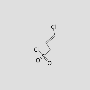 O=S(=O)(Cl)CC=CCl